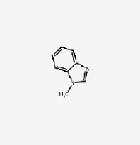 Cn1cnc2cc[c]cc21